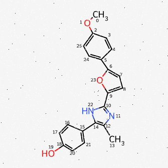 COc1ccc(-c2ccc(-c3nc(C)c(-c4ccc(O)cc4)[nH]3)o2)cc1